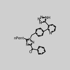 CCCCCc1nc(C(=O)c2ccccc2)nn1Cc1ccc(-c2ncccc2-c2nnn[nH]2)cc1